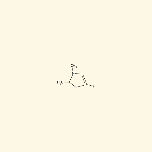 CC1CC(F)=CN1C